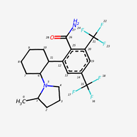 CC1CCCN1C1CCCCC1c1cc(C(F)(F)F)cc(C(F)(F)F)c1C(N)=O